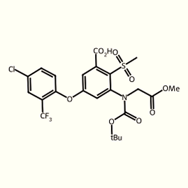 COC(=O)CN(C(=O)OC(C)(C)C)c1cc(Oc2ccc(Cl)cc2C(F)(F)F)cc(C(=O)O)c1S(C)(=O)=O